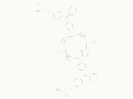 CCCCC(CC)COc1ccc(N(C2=CCCC=C2)c2ccc(-c3c4nc(c(C)c5ccc([nH]5)c(-c5ccc(N(c6ccccc6)c6ccc(OCC(CC)CCCC)cc6)cc5)c5nc(c(C(F)(F)F)c6ccc3[nH]6)C=C5)C=C4)cc2)cc1